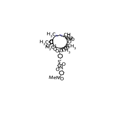 CNC(=O)[C@H]1CC[C@H](CN2C(=O)CC(SC[C@H]3CC[C@H](C(=O)O[C@H]4CC(=O)N(C)c5cc(cc(C)c5Cl)C/C(C)=C/C=C/[C@@H](C)[C@@]5(O)CC(OC(=O)N5)[C@@H](C)[C@@H]5O[C@@]45C)CC3)C2=O)CC1